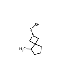 CC1CCCC12CN(SS)C2